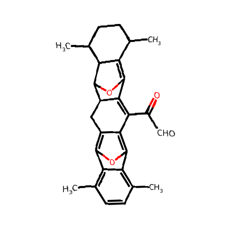 Cc1ccc(C)c2c3oc(c4c3C(C(=O)C=O)=C3C5=C6C(C)CCC(C)C6C(O5)C3C4)c12